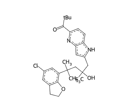 CC(C)(C)C(=O)c1ccc2[nH]c(CC(O)(CC(C)(C)c3cc(Cl)cc4c3OCC4)C(F)(F)F)cc2n1